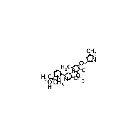 Cc1cncc(COc2cc(C)n(-c3cc(-c4cccc(C(C)(C)O)n4)ncc3C)c(=O)c2Cl)c1